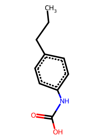 CCCc1ccc(NC(=O)O)cc1